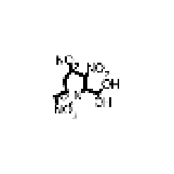 O=[N+]([O-])CCCC(C(C(C(O)O)[N+](=O)[O-])[N+](=O)[O-])[N+](=O)[O-]